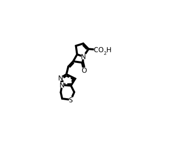 O=C(O)C1=CCC2C(=Cc3cc4n(n3)CCSC4)C(=O)N12